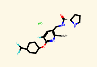 COc1nc(OC2CCC(C(F)F)CC2)c(F)cc1CNC(=O)[C@@H]1CCCN1.Cl